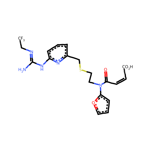 NC(=NCC(F)(F)F)Nc1cccc(CSCCN(C(=O)/C=C\C(=O)O)c2ccco2)n1